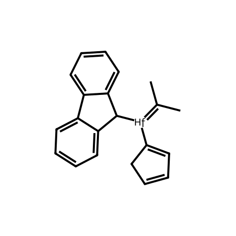 C[C](C)=[Hf]([C]1=CC=CC1)[CH]1c2ccccc2-c2ccccc21